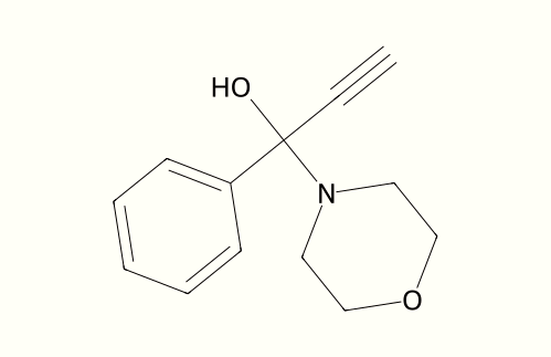 C#CC(O)(c1ccccc1)N1CCOCC1